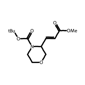 COC(=O)/C=C/C1COCCN1C(=O)OC(C)(C)C